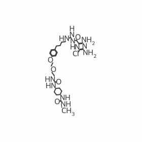 CCNC(=O)NC1CCC(NC(=O)NCCOCCOc2ccc(CCCCNC(=N)NC(=O)c3nc(Cl)c(N)nc3N)cc2)CC1